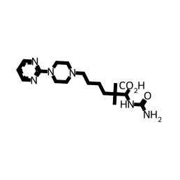 CC(C)(CCCCN1CCN(c2ncccn2)CC1)C(NC(N)=O)C(=O)O